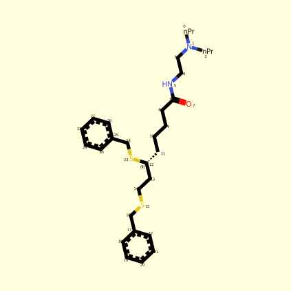 CCCN(CCC)CCNC(=O)CCCC[C@H](CCSCc1ccccc1)SCc1ccccc1